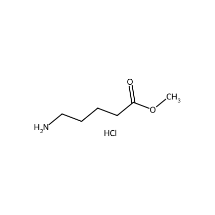 COC(=O)CCCCN.Cl